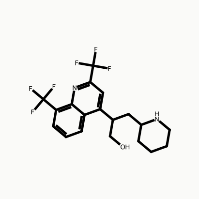 OCC(CC1CCCCN1)c1cc(C(F)(F)F)nc2c(C(F)(F)F)cccc12